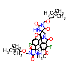 COc1ccc2c(c1F)C(=O)N(CC1(c3cc4cc([C@]5(C)NC(=O)N(COCC[Si](C)(C)C)C5=O)c(F)cc4o3)NC(=O)N(COCC[Si](C)(C)C)C1=O)C2